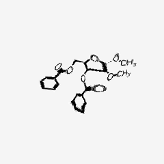 CO[C@H]1O[C@H](COC(=O)c2ccccc2)C(OC(=O)c2ccccc2)[C@@H]1OC